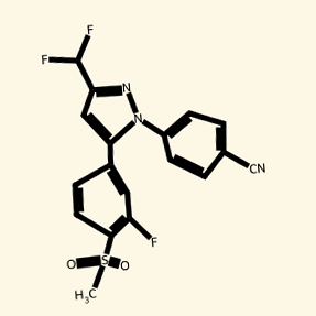 CS(=O)(=O)c1ccc(-c2cc(C(F)F)nn2-c2ccc(C#N)cc2)cc1F